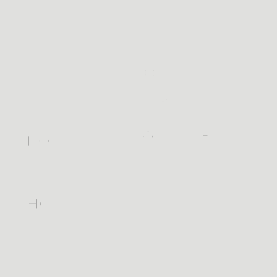 CCC(C)(C)C(=O)OCCC(O)O